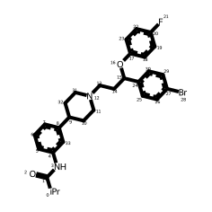 CC(C)C(=O)Nc1cccc(C2CCN(CCC(Oc3ccc(F)cc3)c3ccc(Br)cc3)CC2)c1